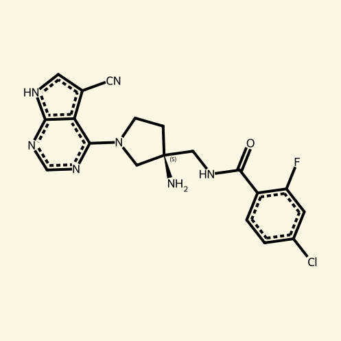 N#Cc1c[nH]c2ncnc(N3CC[C@](N)(CNC(=O)c4ccc(Cl)cc4F)C3)c12